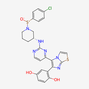 [O-][S+](c1ccc(Cl)cc1)N1CCC[C@@H](Nc2nccc(-c3c(-c4cc(O)ccc4O)nc4sccn34)n2)C1